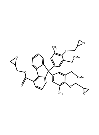 COCc1cc(C2(c3cc(C)c(OCC4CO4)c(COC)c3)c3ccccc3-c3c(C(=O)OCC4CO4)cccc32)cc(C)c1OCC1CO1